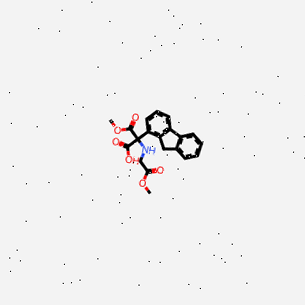 COC(=O)CNC(C(=O)O)(C(=O)OC)c1cccc2c1Cc1ccccc1-2